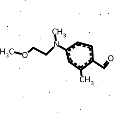 COCCN(C)c1ccc(C=O)c(C)c1